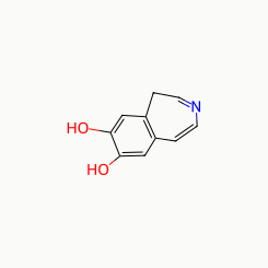 Oc1cc2c(cc1O)CC=NC=C2